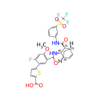 COc1cc(F)c(-c2ccc(C(=O)O)s2)cc1C(=O)N[C@H]1[C@@H](C(=O)Nc2cccc(S(=O)(=O)C(F)(F)F)c2)[C@@H]2C=C[C@H]1C2